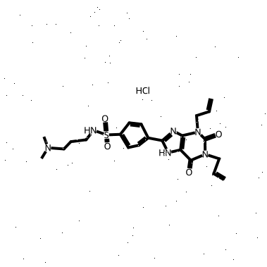 C=CCn1c(=O)c2[nH]c(-c3ccc(S(=O)(=O)NCCCN(C)C)cc3)nc2n(CC=C)c1=O.Cl